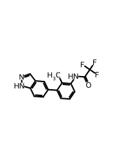 Cc1c(NC(=O)C(F)(F)F)cccc1-c1ccc2[nH]ncc2c1